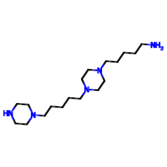 NCCCCCN1CCN(CCCCCN2CCNCC2)CC1